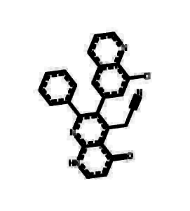 N#CCc1c(-c2cc(Cl)c3ncccc3c2)c(-c2ccccc2)nc2[nH]ccc(=O)c12